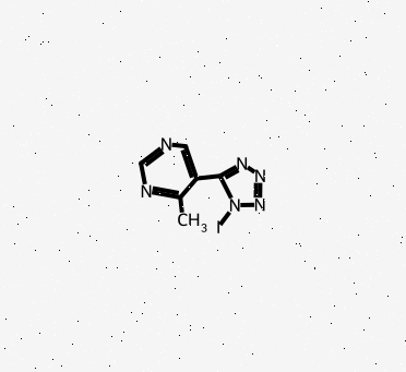 Cc1ncncc1-c1nnnn1I